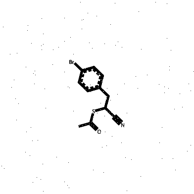 CC(=O)SC(C#N)Cc1ccc(Br)cc1